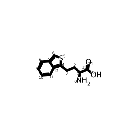 NC(CCc1scc2ccccc12)C(=O)O